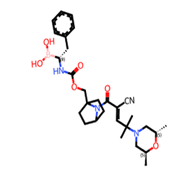 C[C@H]1CN(C(C)(C)C=C(C#N)C(=O)N2C3CCC2(COC(=O)N[C@@H](Cc2ccccc2)B(O)O)CC3)C[C@H](C)O1